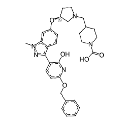 Cn1nc(-c2ccc(OCc3ccccc3)nc2O)c2ccc(O[C@H]3CCN(CC4CCN(C(=O)O)CC4)C3)cc21